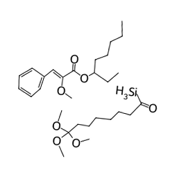 CCCCCC(CC)OC(=O)C(=Cc1ccccc1)OC.COC(CCCCCCC(=O)[SiH3])(OC)OC